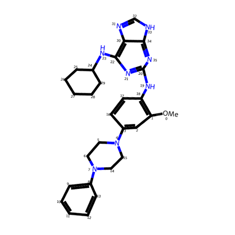 COc1cc(N2CCN(c3ccccc3)CC2)ccc1Nc1nc(NC2CCCCC2)c2nc[nH]c2n1